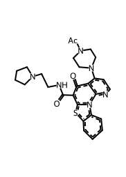 CC(=O)N1CCN(c2ccnc3c2c(=O)c(C(=O)NCCN2CCCC2)c2sc4ccccc4n23)CC1